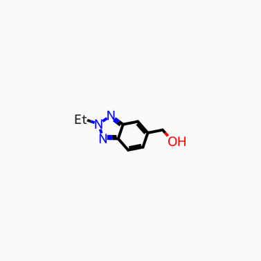 CCn1nc2ccc(CO)cc2n1